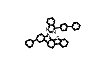 c1ccc(-c2ccc(-c3nc(-n4c5ccc(-c6ccccc6)cc5c5ccc6c7ccccc7sc6c54)nc4ccccc34)cc2)cc1